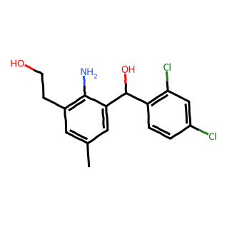 Cc1cc(CCO)c(N)c(C(O)c2ccc(Cl)cc2Cl)c1